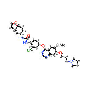 COc1cc2c(Oc3ccc(NC(=O)Nc4ccc5occc5c4)c(Cl)c3)ncnc2cc1OCCCN1CCCC1